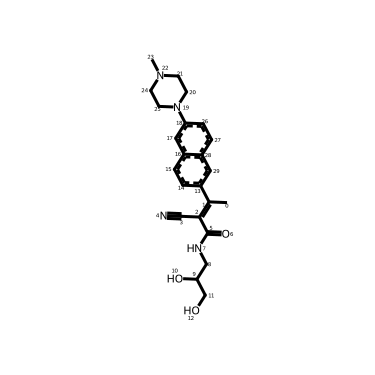 C/C(=C(/C#N)C(=O)NCC(O)CO)c1ccc2cc(N3CCN(C)CC3)ccc2c1